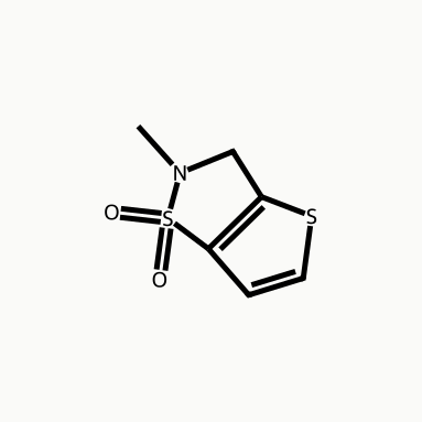 CN1Cc2sccc2S1(=O)=O